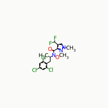 CON(C(=O)c1nn(C)cc1C(F)F)[C@H](C)Cc1c(Cl)cc(Cl)cc1Cl